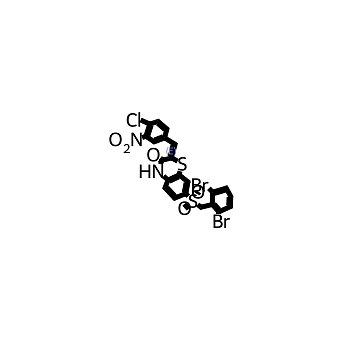 O=C1Nc2ccc(S(=O)(=O)Cc3c(Br)cccc3Br)cc2S/C1=C/c1ccc(Cl)c([N+](=O)[O-])c1